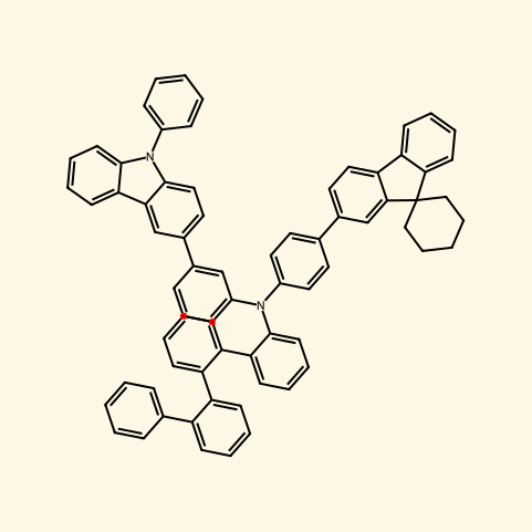 c1ccc(-c2ccccc2-c2ccccc2-c2ccccc2N(c2ccc(-c3ccc4c(c3)C3(CCCCC3)c3ccccc3-4)cc2)c2cccc(-c3ccc4c(c3)c3ccccc3n4-c3ccccc3)c2)cc1